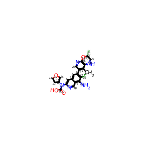 Cc1c(-c2cc3cc(N(C(=O)O)[C@H]4CCOC4)ncc3c(N)c2F)cnc2c1NC[C@H](F)O2